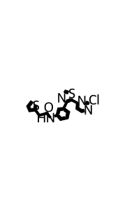 O=C(Cc1cccs1)Nc1cccc(-c2ncsc2-c2ccnc(Cl)n2)c1